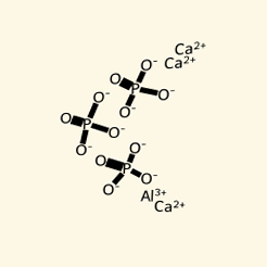 O=P([O-])([O-])[O-].O=P([O-])([O-])[O-].O=P([O-])([O-])[O-].[Al+3].[Ca+2].[Ca+2].[Ca+2]